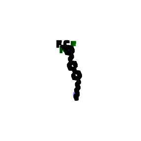 C/C=C/CCCC[C@H]1CC[C@H]([C@H]2CC[C@H](CCc3cc(F)c(C(F)(F)F)c(F)c3)CC2)CC1